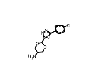 NC1COC(c2nnc(-c3ccc(Cl)cc3)o2)OC1